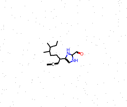 C=C=CC(CCC(C)C(C)CC)C1=CNC(C=O)N1